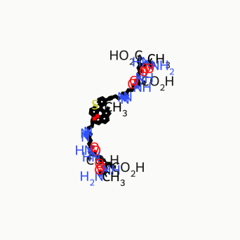 CC1Cc2ccc3ccccc3c2/C1=C1/c2cc(C#CCCn3cc(CCC(=O)N[C@@H](CC(=O)O)C(=O)NCC(=O)CC(CCC(=O)O)C(=O)N[C@@H](C)C(N)=O)nn3)ccc2Sc2ccc(C#CCCn3cc(CCC(=O)N[C@@H](CC(=O)O)C(=O)NCC(=O)C[C@@H](CCC(=O)O)C(=O)N[C@@H](C)C(N)=O)nn3)cc21